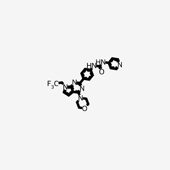 O=C(Nc1ccncc1)Nc1ccc(-c2nc(N3CCOCC3)c3ccn(CC(F)(F)F)c3n2)cc1